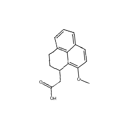 COc1ccc2cccc3c2c1C(CC(=O)O)CC3